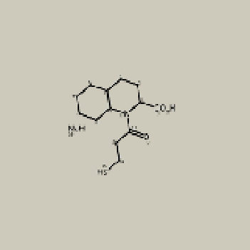 O=C(O)C1CCC2CCCCC2N1C(=O)CCS.[NaH]